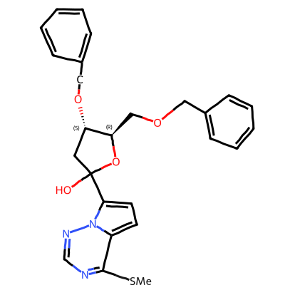 CSc1ncnn2c(C3(O)C[C@H](OCc4ccccc4)[C@@H](COCc4ccccc4)O3)ccc12